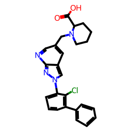 O=C(O)C1CCCCN1Cc1cnc2nn(-c3cccc(-c4ccccc4)c3Cl)cc2c1